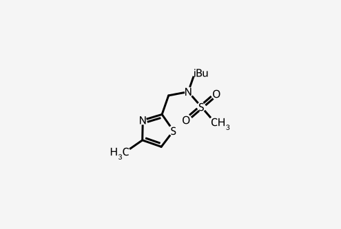 CCC(C)N(Cc1nc(C)cs1)S(C)(=O)=O